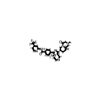 CN1CC(=O)N2C[C@H](C3=C4C=NC=C[N+]4(N)C(c4ccc(C(=O)Nc5cc(C(F)(F)F)ccn5)cc4)=N3)CC[C@H]2C1